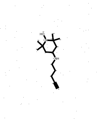 C#CCCCNC1CC(C)(C)N(O)C(C)(C)C1